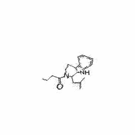 CCCC(=O)N1CCc2c([nH]c3ccccc23)C1CC(C)C